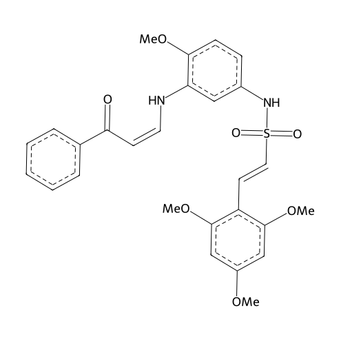 COc1cc(OC)c(/C=C/S(=O)(=O)Nc2ccc(OC)c(N/C=C\C(=O)c3ccccc3)c2)c(OC)c1